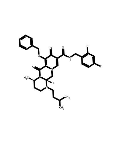 CC(C)CCN1CC[C@@H](C)N2C(=O)c3c(OCc4ccccc4)c(=O)c(C(=O)NCc4ccc(F)cc4F)cn3C[C@H]12